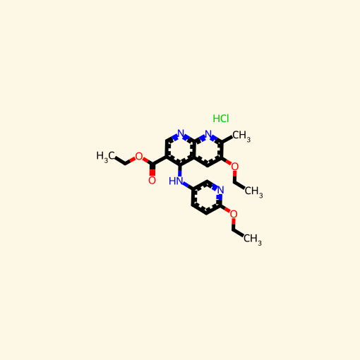 CCOC(=O)c1cnc2nc(C)c(OCC)cc2c1Nc1ccc(OCC)nc1.Cl